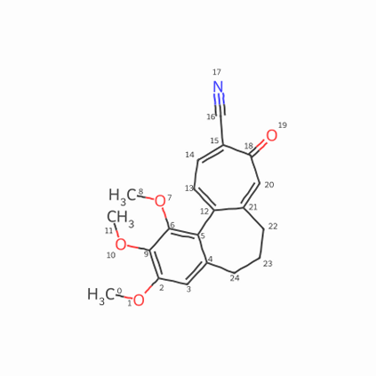 COc1cc2c(c(OC)c1OC)-c1ccc(C#N)c(=O)cc1CCC2